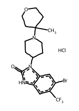 CC1(N2CCC(n3c(=O)[nH]c4cc(C(F)(F)F)c(Br)cc43)CC2)CCOCC1.Cl